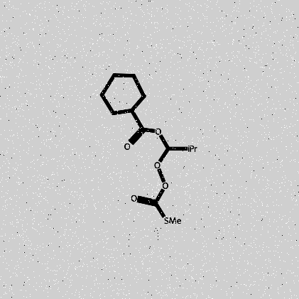 CSC(=O)OOC(OC(=O)C1CCCCC1)C(C)C